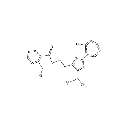 CC(C)c1oc(-c2ccccc2Cl)nc1CCCC(=O)c1ccccc1CCl